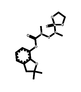 CN(SN(C)P1(=S)OCCO1)C(=O)Oc1cccc2c1OC(C)(C)C2